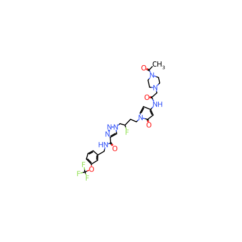 CC(=O)N1CCN(CC(=O)Nc2ccn(CCC(F)Cn3cc(C(=O)NCc4cccc(OC(F)(F)F)c4)nn3)c(=O)c2)CC1